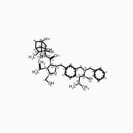 C=C(C)[C@@H]1[C@H](CO)ON(Cc2cccc(CN(Cc3ccccc3)[C@H](CN(C)C)C(C)C)c2)[C@@H]1C(=O)N[C@H]1C[C@H]2CC([C@@H]1C)C2(C)C